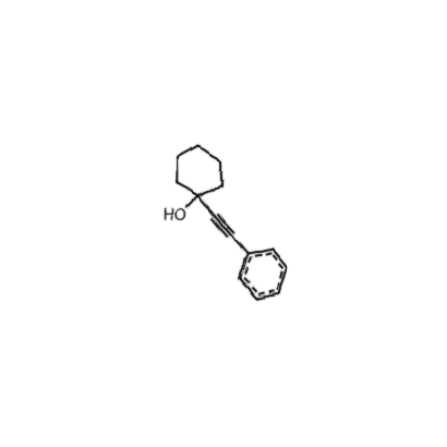 OC1(C#Cc2ccccc2)CCCCC1